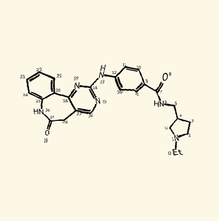 CCN1CCC(CNC(=O)c2ccc(Nc3ncc4c(n3)-c3ccccc3NC(=O)C4)cc2)C1